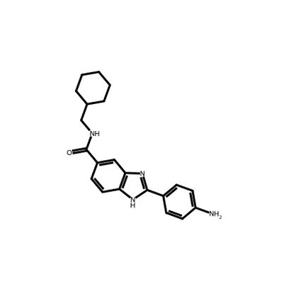 Nc1ccc(-c2nc3cc(C(=O)NCC4CCCCC4)ccc3[nH]2)cc1